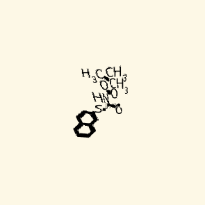 CC(C)(C)OC(=O)N[C@@H](CSc1ccc2ccccc2c1)[C@H]1CO1